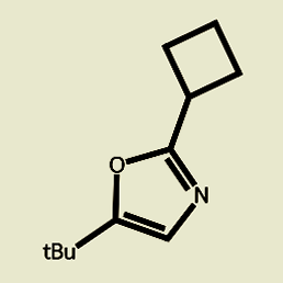 CC(C)(C)c1cnc(C2CCC2)o1